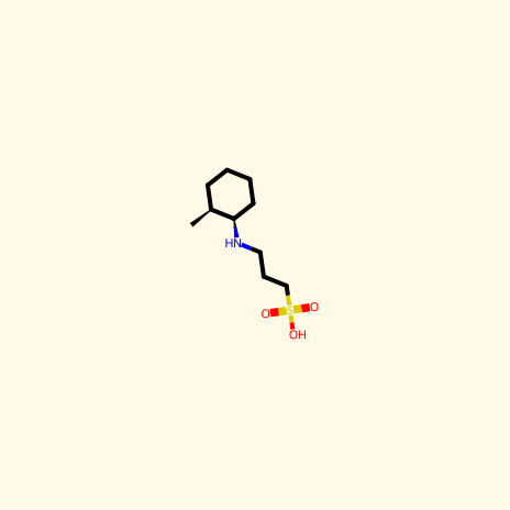 C[C@H]1CCCC[C@H]1NCCCS(=O)(=O)O